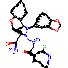 NC(=O)C1C2=C(c3ccccc3OC2)N(c2ccc3c(c2)OCO3)N1NC(=O)c1cccnc1Cl